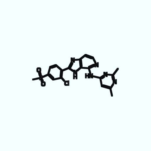 Cc1cc(Nc2nccc3nc(-c4ccc(S(C)(=O)=O)cc4Cl)[nH]c23)nc(C)n1